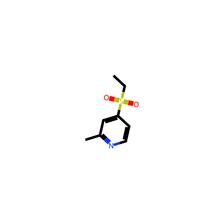 CCS(=O)(=O)c1ccnc(C)c1